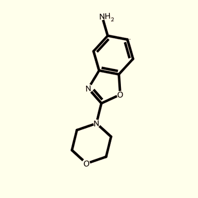 Nc1[c]cc2oc(N3CCOCC3)nc2c1